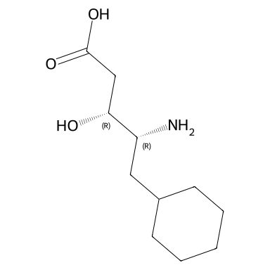 N[C@H](CC1CCCCC1)[C@H](O)CC(=O)O